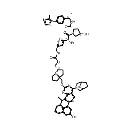 Cc1ncsc1-c1ccc([C@H](C)NC(=O)[C@@H]2C[C@@H](O)CN2C(=O)[C@@H](c2cc(CNC(=O)OC[C@@H]3CC[C@]4(COc5nc(N6CC7CCC(C6)N7)c6cnc7c(c6n5)C(C)c5cccc6cc(O)cc-7c56)CCCN34)no2)C(C)C)cc1